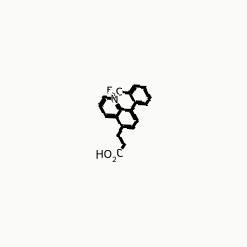 O=C(O)CCc1ccc(-c2ccccc2C(F)(F)F)c2ncccc12